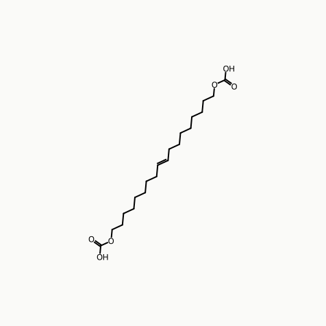 O=C(O)OCCCCCCCC/C=C/CCCCCCCCOC(=O)O